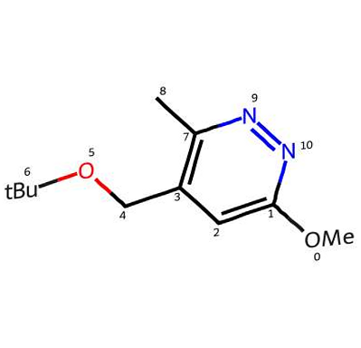 COc1cc(COC(C)(C)C)c(C)nn1